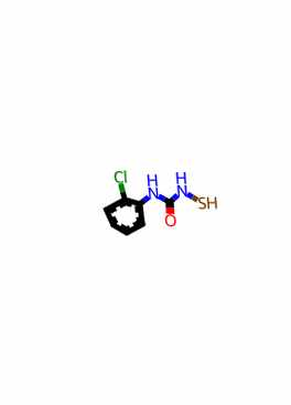 O=C(NS)Nc1ccccc1Cl